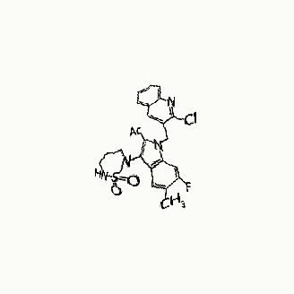 CC(=O)c1c(N2CCCNS2(=O)=O)c2cc(C)c(F)cc2n1Cc1cc2ccccc2nc1Cl